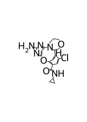 Nc1nc2cc(n1)N1CCCOC[C@H]1c1cc(c(C(=O)NC3CC3)cc1Cl)O2